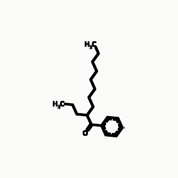 CCCCCCCCC(CCC)C(=O)c1cc[c]cc1